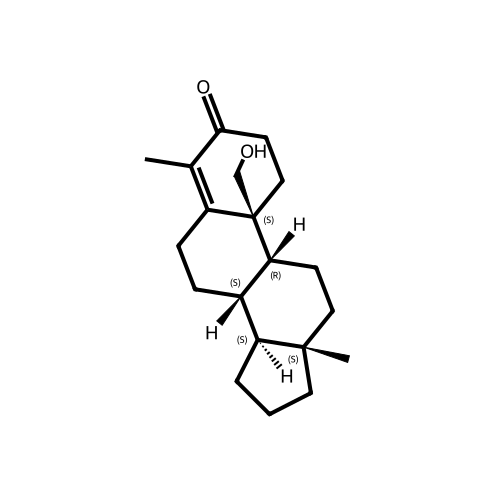 CC1=C2CC[C@@H]3[C@@H](CC[C@]4(C)CCC[C@@H]34)[C@@]2(CO)CCC1=O